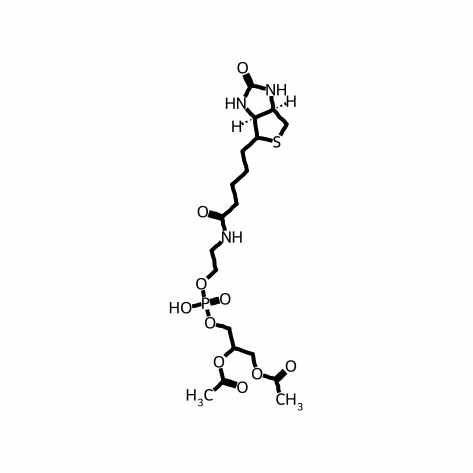 CC(=O)OCC(COP(=O)(O)OCCNC(=O)CCCCC1SC[C@@H]2NC(=O)N[C@H]12)OC(C)=O